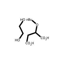 CCCCOC(CC(=O)O)C(=O)O.OCCO